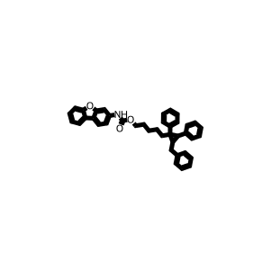 O=C(Nc1ccc2c(c1)oc1ccccc12)OCCCCCC1(c2ccccc2)C(Cc2ccccc2)C1c1ccccc1